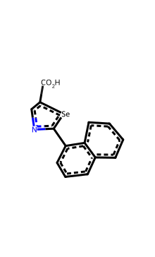 O=C(O)c1cnc(-c2cccc3ccccc23)[se]1